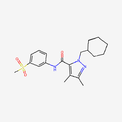 Cc1nn(CC2CCCCC2)c(C(=O)Nc2cccc(S(C)(=O)=O)c2)c1C